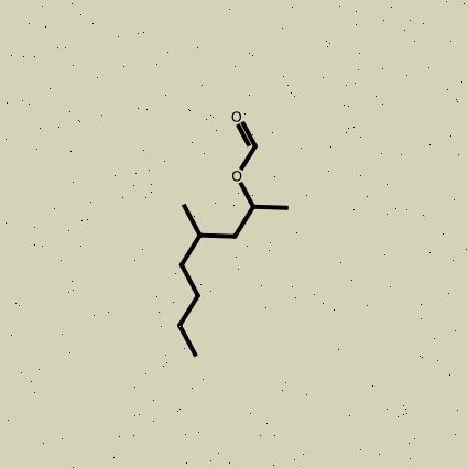 CCCCC(C)CC(C)OC=O